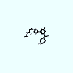 Cc1cc(C(=O)N2CCNCC2)cc(-c2ncn(/C=C\C(=O)OC(C)C)n2)c1